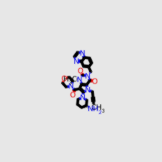 CC#CCn1c(N2CCC[C@@H](N)C2)c(C(=O)N2CCOCC2)c2c1c(=O)n(Cc1ccc3nccnc3c1)c(=O)n2C